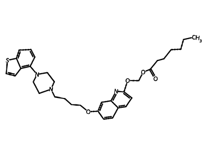 CCCCCCC(=O)OCOc1ccc2ccc(OCCCCN3CCN(c4cccc5sccc45)CC3)cc2n1